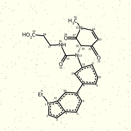 CCn1ccc2ccc(-c3cccc(N(C(=O)NCCC(=O)O)[C@H]4C(=O)C=CN(C)C4=O)c3)cc21